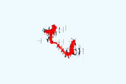 CCc1c(-c2cc(O)cc3ccccc23)c(Cl)cc2c(N3CCN(C(C)=O)CC3)nc(NCCC(=O)N(C)Cc3cccc(C#CCOCCOCCOCCOCCOc4cc([C@@H](C(=O)N5C[C@H](O)C[C@H]5C(=O)NCc5ccc(-c6scnc6C)cc5OC)C(C)C)on4)c3)nc12